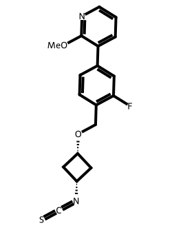 COc1ncccc1-c1ccc(CO[C@H]2C[C@@H](N=C=S)C2)c(F)c1